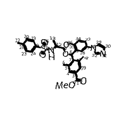 COC(=O)c1cc(C)c(C(OC(=O)C(C)NS(=O)(=O)c2ccc(C)cc2)c2cc(-n3ccnc3)ccc2C)c(C)c1